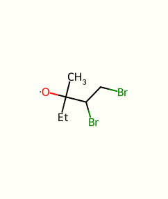 CCC(C)([O])C(Br)CBr